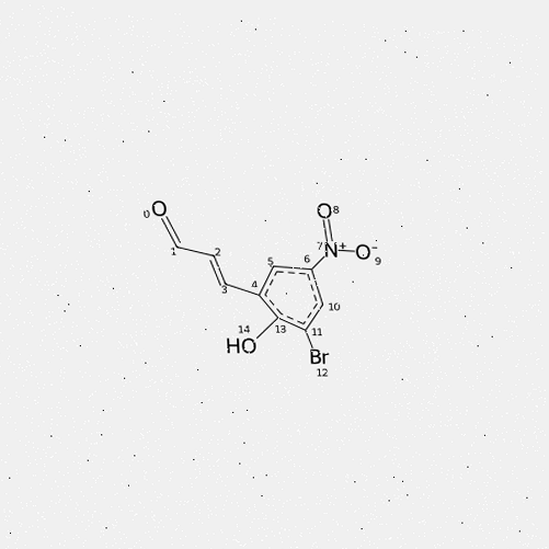 O=C/C=C/c1cc([N+](=O)[O-])cc(Br)c1O